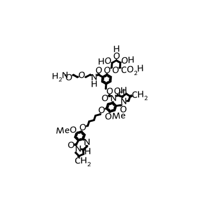 C=C1C[C@H]2C=Nc3cc(OCCCCCOc4cc5c(cc4OC)C(=O)N4CC(=C)C[C@H]4C(O)N5C(=O)OCc4ccc(O[C@@H]5O[C@H](C(=O)O)[C@@H](O)[C@H](O)[C@H]5O)c(C(=O)NCCOCCON)c4)c(OC)cc3C(=O)N2C1